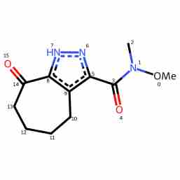 CON(C)C(=O)c1n[nH]c2c1CCCCC2=O